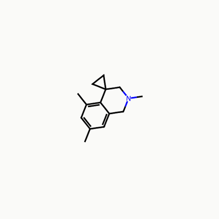 Cc1cc(C)c2c(c1)CN(C)CC21CC1